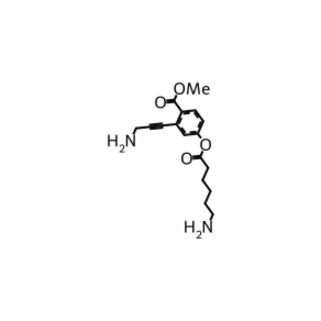 COC(=O)c1ccc(OC(=O)CCCCCN)cc1C#CCN